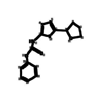 O=C(Nc1nnc(C2CCCO2)s1)Oc1ccccc1